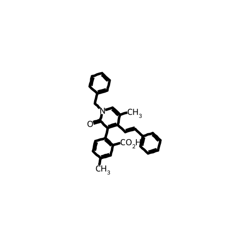 Cc1ccc(-c2c(C=Cc3ccccc3)c(C)cn(Cc3ccccc3)c2=O)c(C(=O)O)c1